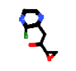 O=C(Cc1nccnc1Cl)C1CO1